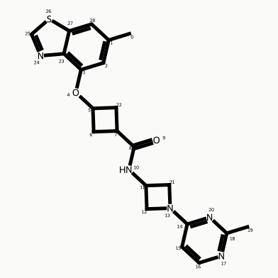 Cc1cc(OC2CC(C(=O)NC3CN(c4ccnc(C)n4)C3)C2)c2ncsc2c1